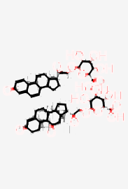 C[C@]12C=CC(=O)C=C1C=CC1C2CC[C@@]2(C)C1CC[C@@H]2C(=O)COC1O[C@H](C(=O)O)[C@@H](O)[C@H](O)[C@H]1O.C[C@]12CC(=O)[C@H]3[C@@H](CCC4=CC(=O)CC[C@@]43C)[C@@H]1CC[C@@H]2C(=O)COC1O[C@H](C(=O)O)[C@@H](O)[C@H](O)[C@H]1O